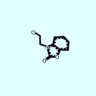 O=c1oc2ccccc2n1CCCl